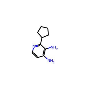 Nc1ccnc(C2CCCC2)c1N